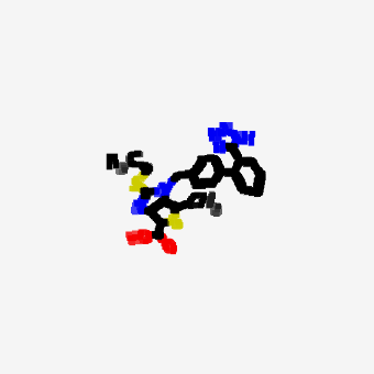 CCSc1nc2c(n1Cc1ccc(-c3ccccc3-c3nnn[nH]3)cc1)C(C)SC2C(=O)O